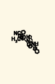 CN(CCCNC(=O)[C@H](CC1CCCC1)NC(=O)c1cc2ccccc2s1)S(=O)(=O)c1ccccc1C#N